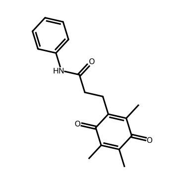 CC1=C(C)C(=O)C(CCC(=O)Nc2ccccc2)=C(C)C1=O